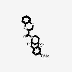 CC[C@]12CCN(C(=O)C3COc4ccccc4O3)[C@H](Cc3ccc(OC)cc31)C2